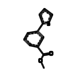 COC(=O)c1cccc(-c2cccs2)c1